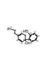 CC(C)CCC1=CCC(O)(c2ccccc2O)C=C1